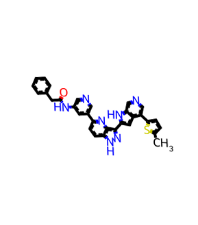 Cc1ccc(-c2cncc3[nH]c(-c4n[nH]c5ccc(-c6cncc(NC(=O)Cc7ccccc7)c6)nc45)cc23)s1